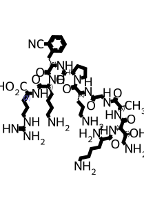 C[C@H](NC(=O)[C@@H](NC(=O)C(N)CCCCN)[C@@H](O)CN)C(=O)NCC(=O)N[C@H](CCCN)C(=O)N1CCC[C@H]1C(=O)N[C@@H](Cc1ccccc1C#N)C(=O)N[C@@H](CCCCN)C(=O)N/C(=C\CCNC(=N)N)C(=O)O